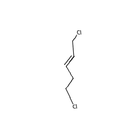 ClC/C=C/CCCl